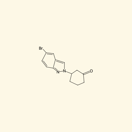 O=C1CCCC(n2cc3cc(Br)ccc3n2)C1